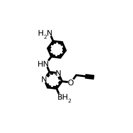 Bc1cnc(Nc2cccc(N)c2)nc1OCC#C